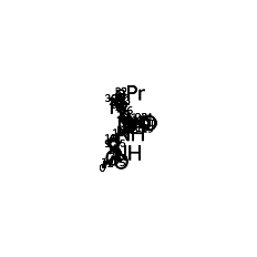 C=CCOC(=O)Nc1cccc(CNc2cc(N3CCOCC3)cc(CSc3nc(C)c(CCC)s3)n2)c1